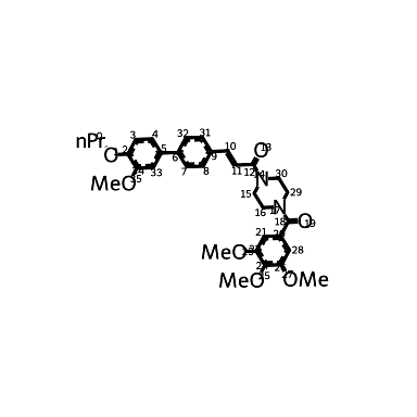 CCCOc1ccc(-c2ccc(C=CC(=O)N3CCN(C(=O)c4cc(OC)c(OC)c(OC)c4)CC3)cc2)cc1OC